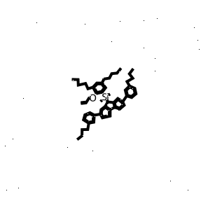 C=CCOc1c(CCCCC)cc(CCCCC)cc1[Si](C)(C)C1c2cc(-c3cccc(CCCC)c3)ccc2-c2ccc(-c3cccc(CCCC)c3)cc21